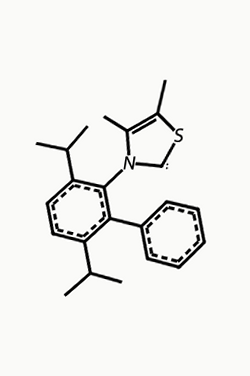 CC1=C(C)N(c2c(C(C)C)ccc(C(C)C)c2-c2ccccc2)[C]S1